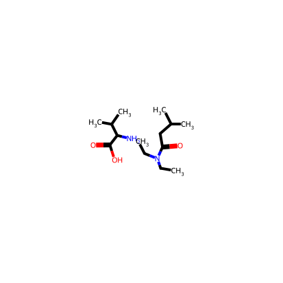 CC(C)C(N)C(=O)O.CCN(CC)C(=O)CC(C)C